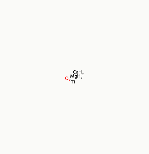 [CaH2].[MgH2].[O]=[Ti]